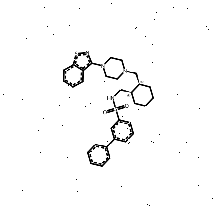 O=S(=O)(NC[C@@H]1CCCC[C@@H]1CN1CCN(c2nsc3ccccc23)CC1)c1cccc(-c2ccccc2)c1